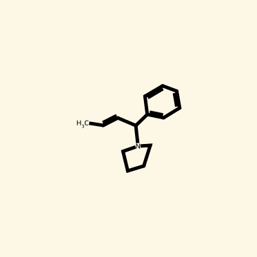 CC=CC(c1ccccc1)N1CCCC1